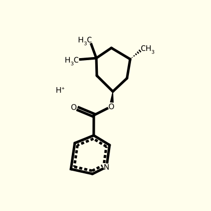 C[C@@H]1C[C@@H](OC(=O)c2cccnc2)CC(C)(C)C1.[H+]